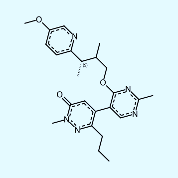 CCCc1nn(C)c(=O)cc1-c1cnc(C)nc1OCC(C)[C@H](C)c1ccc(OC)cn1